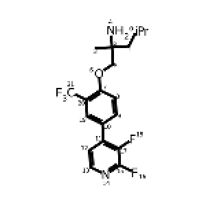 CC(C)CC(C)(N)COc1ccc(-c2ccnc(F)c2F)cc1C(F)(F)F